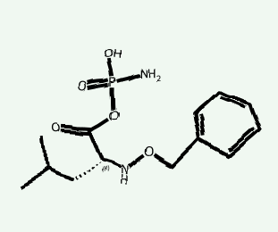 CC(C)C[C@@H](NOCc1ccccc1)C(=O)OP(N)(=O)O